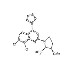 CO[C@@H]1CCN(c2cc(-n3ccnc3)c3ccc(Cl)c(Cl)c3n2)[C@@H]1C(=O)O